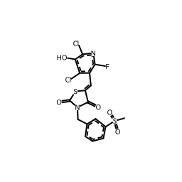 CS(=O)(=O)c1cccc(CN2C(=O)S/C(=C\c3c(F)nc(Cl)c(O)c3Cl)C2=O)c1